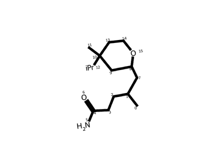 CC(CCC(N)=O)CC1CC(C)(C(C)C)CCO1